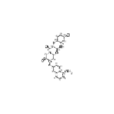 Nc1ncnc2cc(CN3CCN(C(=O)C4Sc5ccc(Cl)cc5NC4=O)CC3=O)ccc12